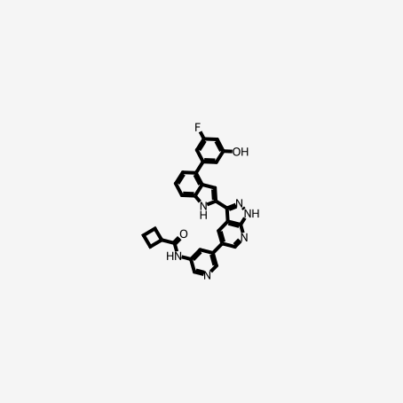 O=C(Nc1cncc(-c2cnc3[nH]nc(-c4cc5c(-c6cc(O)cc(F)c6)cccc5[nH]4)c3c2)c1)C1CCC1